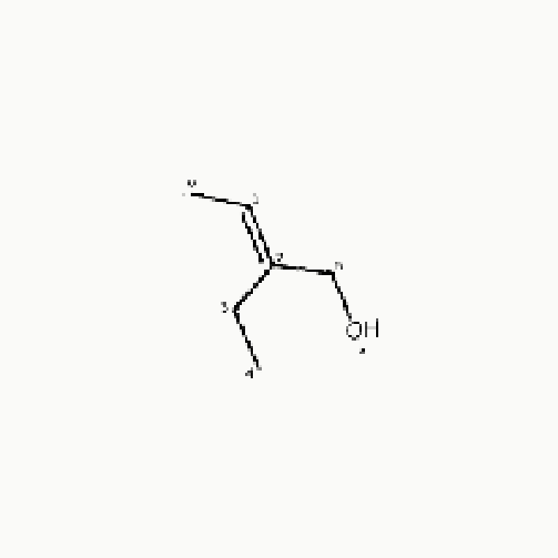 [CH2]/C=C(\CC)CO